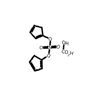 O=C(O)O.O=S(=O)(OC1=CC=CC1)OC1=CC=CC1